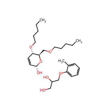 CCCCCOC[C@H]1O[C@H](O)C=C[C@@H]1OCCCCC.Cc1ccccc1OCC(O)CO